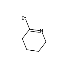 CCC1=NCCCC1